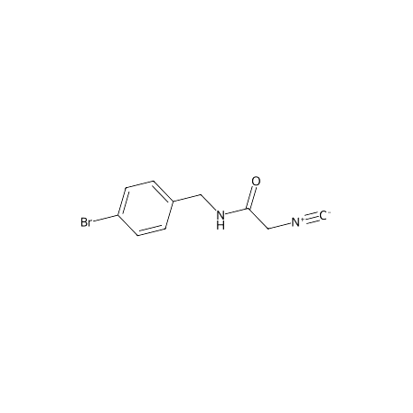 [C-]#[N+]CC(=O)NCc1ccc(Br)cc1